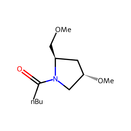 CCCCC(=O)N1C[C@@H](OC)C[C@@H]1COC